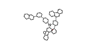 c1ccc(-c2ccc(-c3cc4ccccc4c4ccccc34)cc2N(c2ccc(-c3cccc(-c4ccc5ccccc5c4)c3)cc2)c2ccc3c(c2)oc2ccccc23)cc1